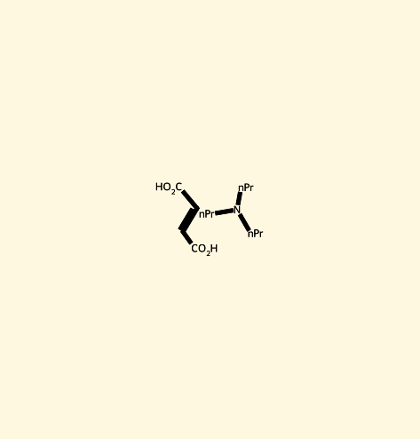 CCCN(CCC)CCC.O=C(O)C=CC(=O)O